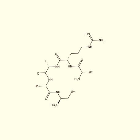 CC(C)C[C@H](NC(=O)[C@@H](NC(=O)[C@H](C)NC(=O)[C@H](CCCNC(=N)N)NC(=O)[C@@H](N)C(C)C)C(C)C)C(=O)O